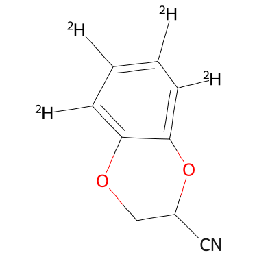 [2H]c1c([2H])c([2H])c2c(c1[2H])OCC(C#N)O2